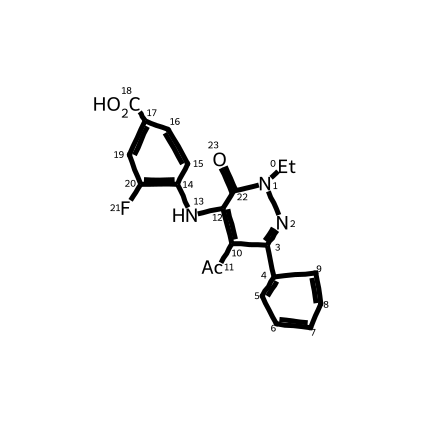 CCn1nc(-c2ccccc2)c(C(C)=O)c(Nc2ccc(C(=O)O)cc2F)c1=O